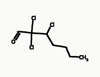 CCCCC(Cl)C(Cl)(Cl)[C]=O